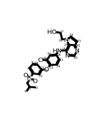 CC(C)CS(=O)(=O)c1cccc(Oc2ccc(Nc3ncnc4ccn(CCO)c34)cc2Cl)c1